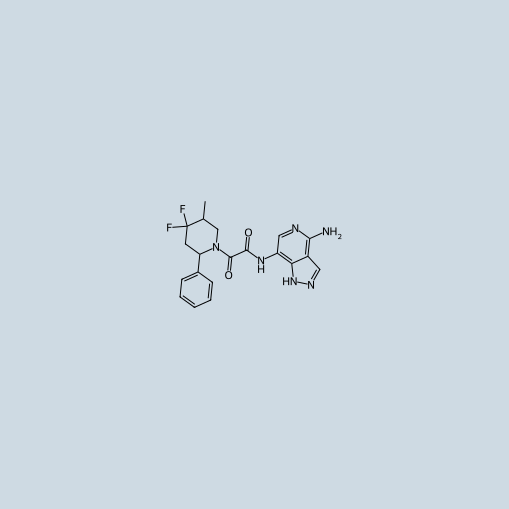 CC1CN(C(=O)C(=O)Nc2cnc(N)c3cn[nH]c23)C(c2ccccc2)CC1(F)F